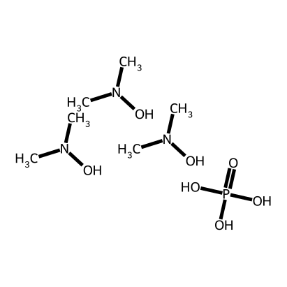 CN(C)O.CN(C)O.CN(C)O.O=P(O)(O)O